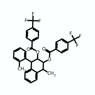 Cc1ccccc1C1c2ccccc2C(C)C(OC(=O)c2ccc(C(F)(F)F)cc2)C1OC(=O)c1ccc(C(F)(F)F)cc1